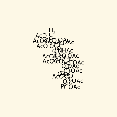 CC(=O)NC1[C@H](O[C@@H]2C(OC(C)=O)[C@@H](O[C@H]3C(COC(C)=O)O[C@@H](O[C@@H]4C(COC(C)=O)O[C@@H](C(C)C)C(OC(C)=O)[C@H]4OC(C)=O)C(OC(C)=O)[C@H]3OC(C)=O)OC(COC(C)=O)[C@@H]2OC(C)=O)OC(COC(C)=O)[C@H](OC(C)=O)[C@@H]1O[C@@H]1OC(COC(C)=O)[C@H](OC(C)=O)[C@H](OC(C)=O)C1O[C@@H]1OC(C)C(OC(C)=O)[C@H](OC(C)=O)C1OC(C)=O